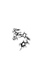 CS(=O)(=O)N1CC(CCO)(N2CCC(N[C@@H]3CC3c3ccccc3)CC2)C1